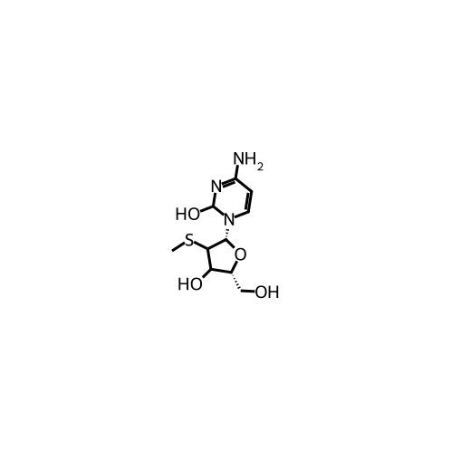 CSC1C(O)[C@@H](CO)O[C@H]1N1C=CC(N)=NC1O